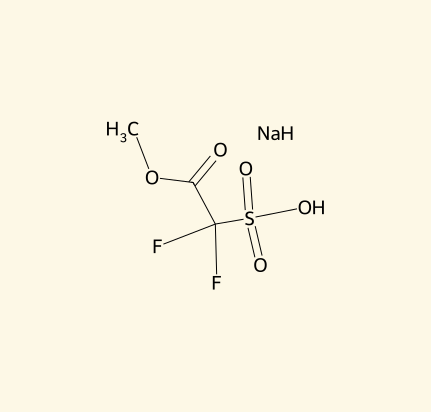 COC(=O)C(F)(F)S(=O)(=O)O.[NaH]